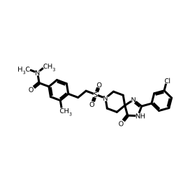 Cc1cc(C(=O)N(C)C)ccc1CCS(=O)(=O)N1CCC2(CC1)N=C(c1cccc(Cl)c1)NC2=O